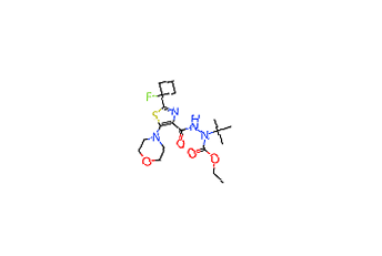 CCOC(=O)N(NC(=O)c1nc(C2(F)CCC2)sc1N1CCOCC1)C(C)(C)C